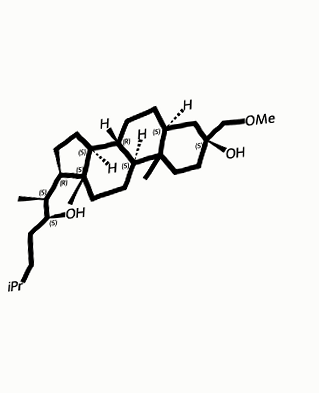 COC[C@]1(O)CCC2(C)[C@@H](CC[C@@H]3[C@@H]2CC[C@]2(C)[C@@H]([C@H](C)[C@@H](O)CCC(C)C)CC[C@@H]32)C1